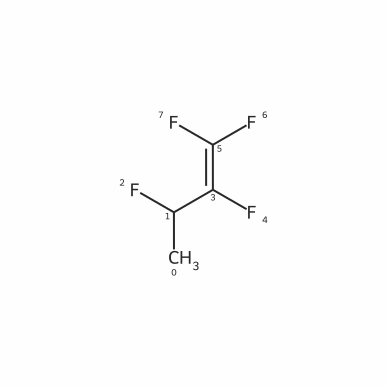 CC(F)C(F)=C(F)F